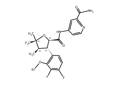 CCOc1c([C@@H]2[C@@H](C)[C@@](C)(C(F)(F)F)O[C@H]2C(=O)Nc2ccnc(C(N)=O)c2)ccc(F)c1F